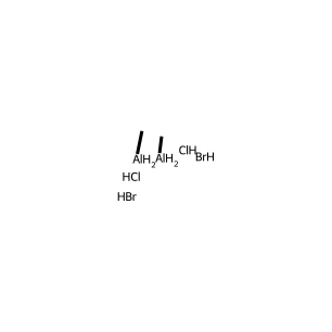 Br.Br.Cl.Cl.[CH3][AlH2].[CH3][AlH2]